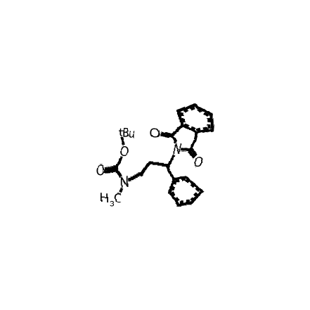 CN(CCC(c1ccccc1)N1C(=O)c2ccccc2C1=O)C(=O)OC(C)(C)C